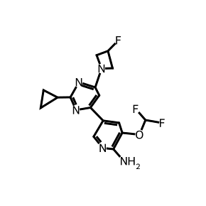 Nc1ncc(-c2cc(N3CC(F)C3)nc(C3CC3)n2)cc1OC(F)F